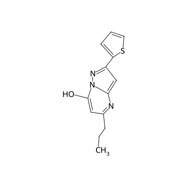 CCCc1cc(O)n2nc(-c3cccs3)cc2n1